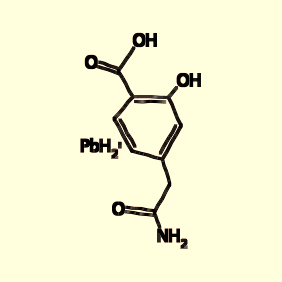 NC(=O)Cc1ccc(C(=O)O)c(O)c1.[PbH2]